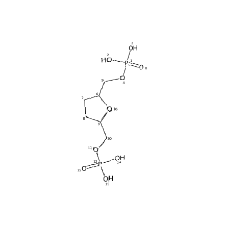 O=P(O)(O)OCC1CCC(COP(=O)(O)O)O1